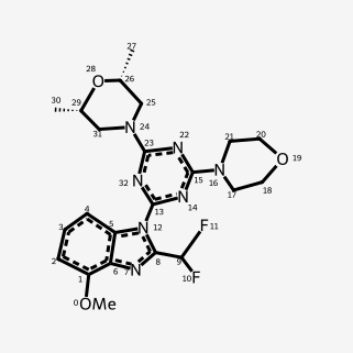 COc1cccc2c1nc(C(F)F)n2-c1nc(N2CCOCC2)nc(N2C[C@@H](C)O[C@@H](C)C2)n1